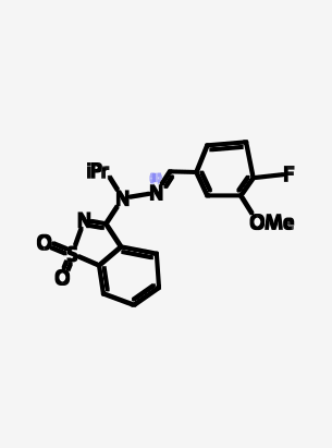 COc1cc(/C=N/N(C2=NS(=O)(=O)c3ccccc32)C(C)C)ccc1F